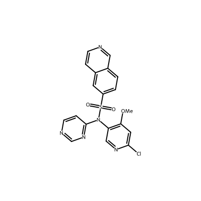 COc1cc(Cl)ncc1N(c1ccncn1)S(=O)(=O)c1ccc2cnccc2c1